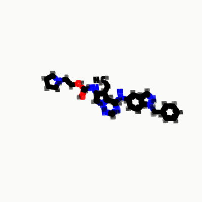 CCc1c(NC(=O)OCCN2CCCC2)cn2ncnc(Nc3ccc4c(cnn4Cc4ccccc4)c3)c12